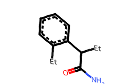 CCc1ccccc1C(CC)C(N)=O